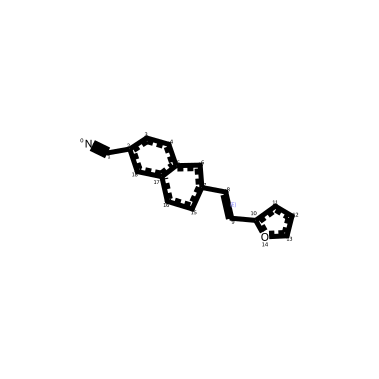 N#Cc1ccc2cc(/C=C/c3ccco3)ccc2c1